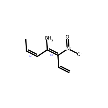 BC(/C=C\C)=C(/C=C)[N+](=O)[O-]